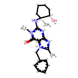 Cc1nc2nc(N[C@@]3(C)CCCC[C@@H]3O)n(C)c(=O)c2n1Cc1ccccc1